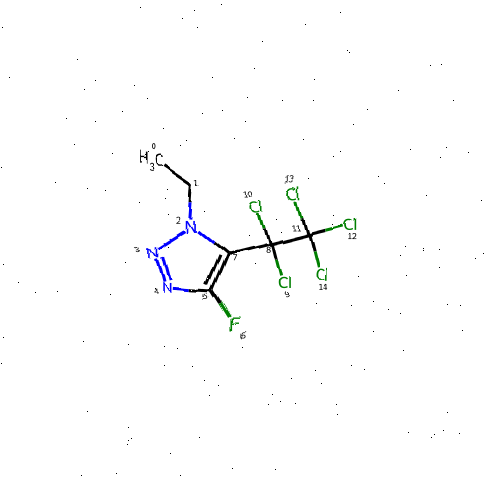 CCn1nnc(F)c1C(Cl)(Cl)C(Cl)(Cl)Cl